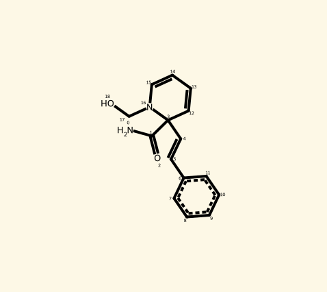 NC(=O)C1(C=Cc2ccccc2)C=CC=CN1CO